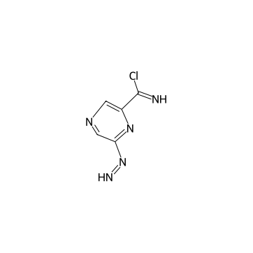 N=Nc1cncc(C(=N)Cl)n1